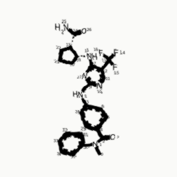 CN(C(=O)c1ccc(Nc2ncc(C(F)(F)F)c(N[C@@H]3CCC[C@@H]3C(N)=O)n2)cc1)c1ccccc1